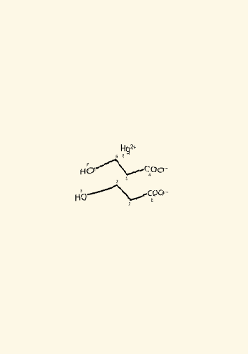 O=C([O-])CCO.O=C([O-])CCO.[Hg+2]